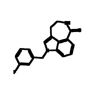 O=C1NCCc2cn(Cc3cccc(F)c3)c3cccc1c23